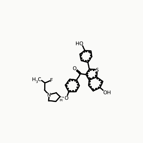 CC(F)CN1CC[C@@H](Oc2ccc(C(=O)c3c(-c4ccc(O)cc4)sc4cc(O)ccc34)cc2)C1